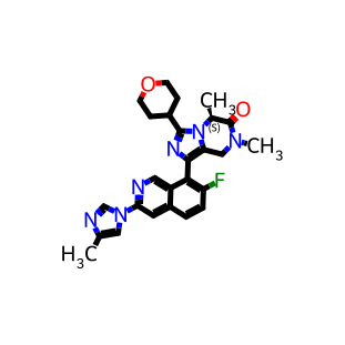 Cc1cn(-c2cc3ccc(F)c(-c4nc(C5CCOCC5)n5c4CN(C)C(=O)[C@@H]5C)c3cn2)cn1